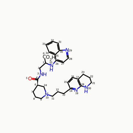 O=C(O)C(CNC(=O)[C@@H]1CCCN(CCCc2ccc3c(n2)NCCC3)C1)Nc1ccnc2ccccc12